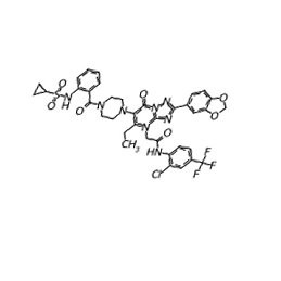 CCc1c(N2CCN(C(=O)c3ccccc3NS(=O)(=O)C3CC3)CC2)c(=O)n2nc(-c3ccc4c(c3)OCO4)nc2n1CC(=O)Nc1ccc(C(F)(F)F)cc1Cl